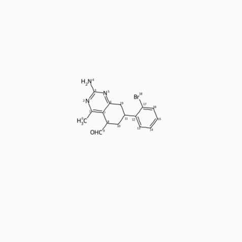 Cc1nc(N)nc2c1C(C=O)CC(c1ccccc1Br)C2